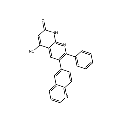 N#Cc1cc(=O)[nH]c2nc(-c3ccccc3)c(-c3ccc4ncccc4c3)cc12